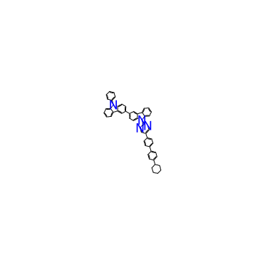 c1ccc(-n2c3ccccc3c3cc(-c4ccc5c(c4)c4ccccc4n5-c4ncc(-c5ccc(-c6ccc(C7CCCCC7)cc6)cc5)cn4)ccc32)cc1